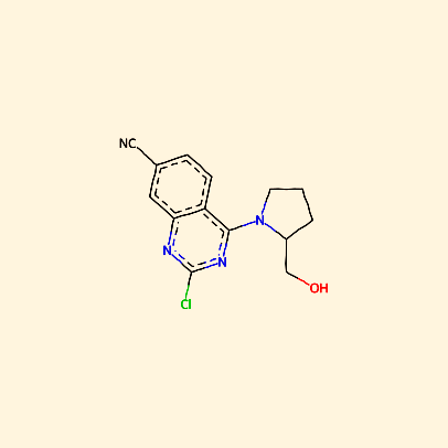 N#Cc1ccc2c(N3CCCC3CO)nc(Cl)nc2c1